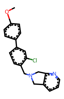 COc1ccc(-c2ccc(CN3Cc4cccnc4C3)c(Cl)c2)cc1